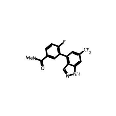 CNC(=O)c1ccc(F)c(-c2cc(C(F)(F)F)cc3[nH]ncc23)c1